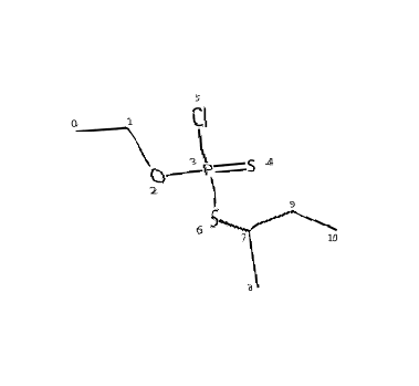 CCOP(=S)(Cl)SC(C)CC